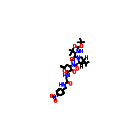 C=CCC(NC(=O)[C@@H]1[C@@H]2[C@H](CN1C(=O)[C@@H](NC(=O)OC(C)(C)C)C(C)(C)C)C2(C)C)C(=O)C(=O)NCC(=O)NCc1ccc([N+](=O)[O-])cc1